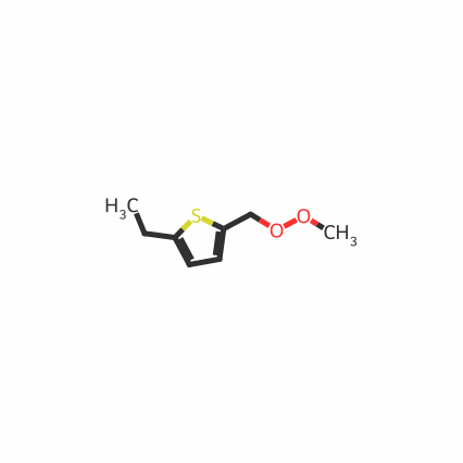 CCc1ccc(COOC)s1